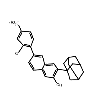 O=C(O)c1ccc(-c2ccc3cc(O)c(C45CC6CC(CC(C6)C4)C5)cc3c2)c(Cl)c1